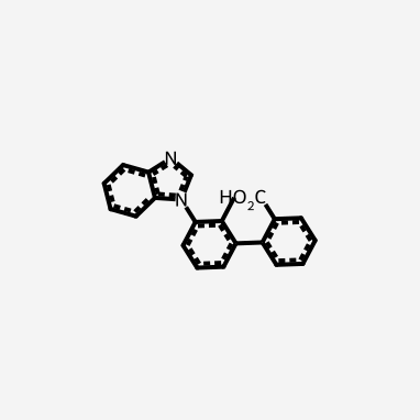 Cc1c(-c2ccccc2C(=O)O)cccc1-n1cnc2ccccc21